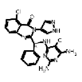 Nc1nc(N)c(Cl)c(N[C@@H](c2ccccc2)c2nc3cccc(Cl)c3c(=O)n2-c2cn[nH]c2)n1